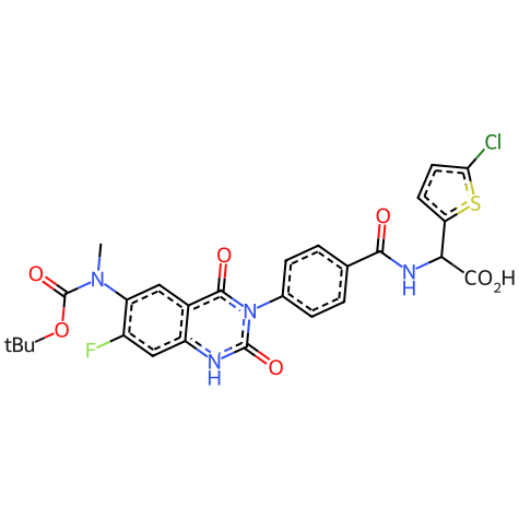 CN(C(=O)OC(C)(C)C)c1cc2c(=O)n(-c3ccc(C(=O)NC(C(=O)O)c4ccc(Cl)s4)cc3)c(=O)[nH]c2cc1F